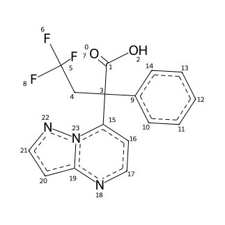 O=C(O)C(CC(F)(F)F)(c1ccccc1)c1ccnc2ccnn12